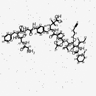 C#CCCCON(C(=O)[C@@H](NC(=O)[C@H]1CCCCN1C)[C@@H](C)CC)[C@H](C[C@@H](OC(C)=O)c1nc(C(=O)N[C@@H](Cc2ccc(NC(=O)CNC(=O)[C@H](Cc3ccccc3)NC(=O)CNC(=O)CN)cc2)CC(C)(C)C(=O)O)cs1)C(C)C